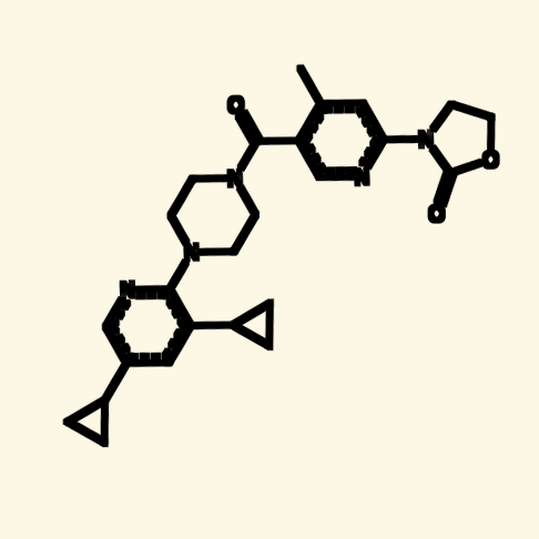 Cc1cc(N2CCOC2=O)ncc1C(=O)N1CCN(c2ncc(C3CC3)cc2C2CC2)CC1